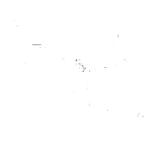 COC1CCC2(CC1)Cc1ccc(Br)cc1C21COS(=O)(=O)N1